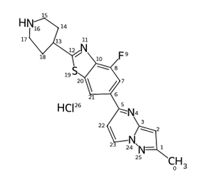 Cc1cc2nc(-c3cc(F)c4nc(C5CCNCC5)sc4c3)ccn2n1.Cl